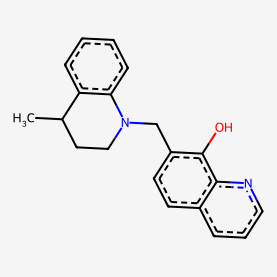 CC1CCN(Cc2ccc3cccnc3c2O)c2ccccc21